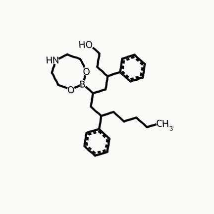 CCCCCC(CC(CC(CCO)c1ccccc1)B1OCCNCCO1)c1ccccc1